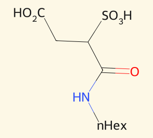 CCCCCCNC(=O)C(CC(=O)O)S(=O)(=O)O